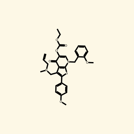 C=CCN(C)Cc1c(-c2ccc(OC)cc2)sc2c1c(=O)c(OC(=O)OCC)cn2Cc1ccccc1OC